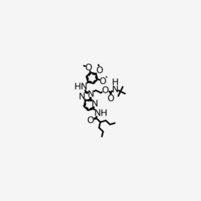 CCCC(CCC)C(=O)Nc1ccc2nc(Nc3cc(OC)c(OC)c(OC)c3)n(CCOC(=O)NC(C)(C)C)c2n1